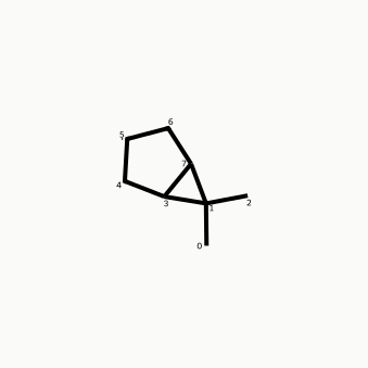 CC1(C)C2C[CH]CC21